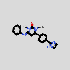 Cn1c(-c2ccc(-c3ncc[nH]3)cc2)cc(=Nc2ccccc2)n(C)c1=O